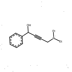 CCN(CC)CC#CC(O)c1ccccc1